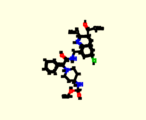 COC(=O)c1cc2cc(Cl)cc(CNC(=O)C(c3ccccc3)N3CCC(NC(=O)OC(C)(C)C)CC3)c2nc1OC